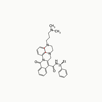 CC[C@H](NC(=O)c1c(CN2CCN(CCCN(C)C)CC2)n(-c2ccccc2)c(=O)c2ccccc12)c1ccccc1